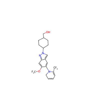 OCC1CCC(n2cc3cc(N4CC=CC=C4C(F)(F)F)c(OC(F)(F)F)cc3n2)CC1